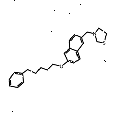 c1ccc(CCCCCOc2ccc3cc(CN4CCSC4)ccc3c2)cc1